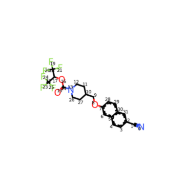 N#Cc1ccc2cc(OCC3CCN(C(=O)OC(C(F)(F)F)C(F)(F)F)CC3)ccc2c1